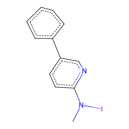 CN(I)c1ccc(-c2ccccc2)cn1